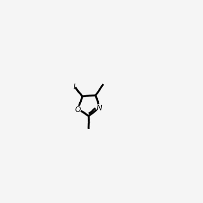 CC1=NC(C)C(I)O1